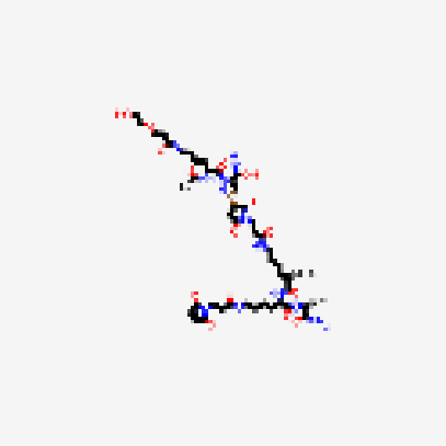 CCCC(NC(=O)C(CCCCNC(=O)CCN1C(=O)C=CC1=O)NC(=O)C(CCCCNC(=O)CCN1C(=O)CC(SCC(NC(=O)C(CCCCNC(=O)CCOCCO)NC(=O)CC)C(N)O)C1=O)NC(C)=O)C(N)O